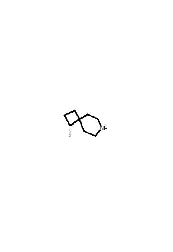 C[C@@H]1CCC12CCNCC2